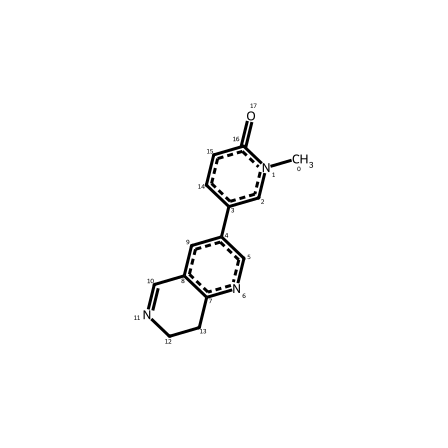 Cn1cc(-c2cnc3c(c2)C=NCC3)ccc1=O